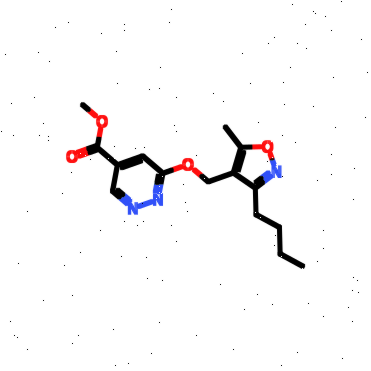 CCCCc1noc(C)c1COc1cc(C(=O)OC)cnn1